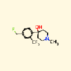 CN1CCC(O)(c2ccc(CF)cc2C(F)(F)F)CC1